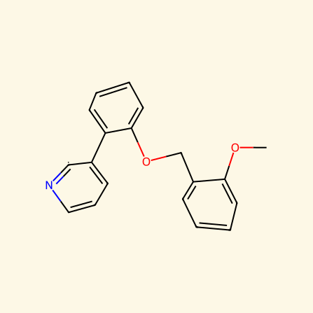 COc1ccccc1COc1ccccc1-c1[c]nccc1